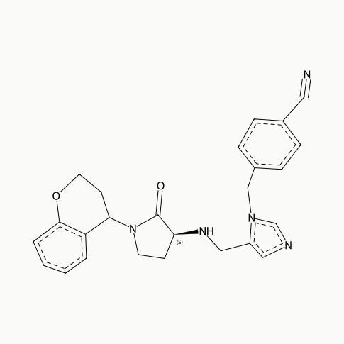 N#Cc1ccc(Cn2cncc2CN[C@H]2CCN(C3CCOc4ccccc43)C2=O)cc1